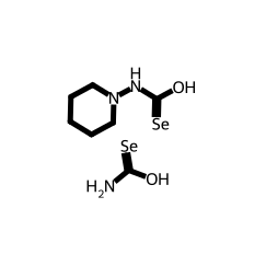 NC(O)=[Se].OC(=[Se])NN1CCCCC1